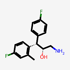 Cc1cc(F)ccc1[C@H](c1ccc(F)cc1)[C@@H](O)CN